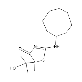 CC(C)(O)C1(C)SC(NC2CCCCCCC2)=NC1=O